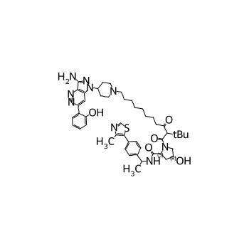 Cc1ncsc1-c1ccc(C(C)NC(=O)[C@@H]2C[C@@H](O)CN2C(=O)C(C(=O)CCCCCCCCN2CCC(n3nc(N)c4nnc(-c5ccccc5O)cc43)CC2)C(C)(C)C)cc1